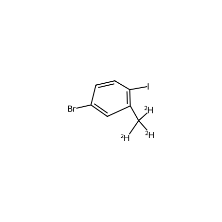 [2H]C([2H])([2H])c1cc(Br)ccc1I